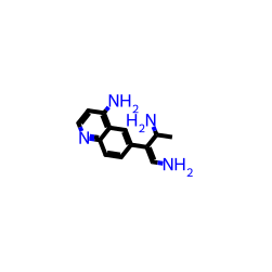 CC(N)/C(=C\N)c1ccc2nccc(N)c2c1